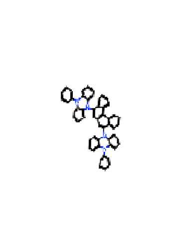 c1ccc(N2c3ccccc3N(c3cc4cc(N5c6ccccc6N(c6ccccc6)c6ccccc65)c5ccccc5c4c4ccccc34)c3ccccc32)cc1